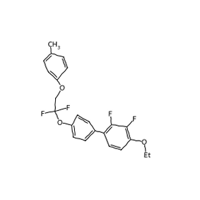 CCOc1ccc(-c2ccc(OC(F)(F)COc3ccc(C)cc3)cc2)c(F)c1F